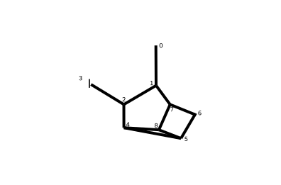 CC1C(I)C2C3CC1C32